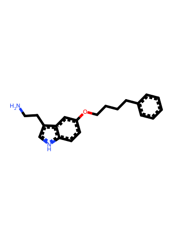 NCCc1c[nH]c2ccc(OCCCCc3ccccc3)cc12